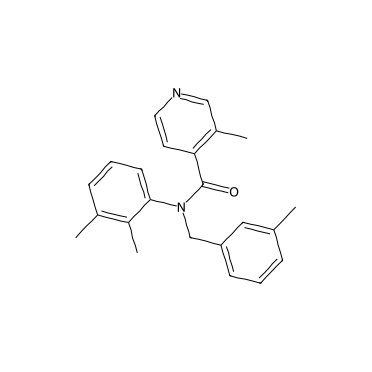 Cc1cccc(CN(C(=O)c2ccncc2C)c2cccc(C)c2C)c1